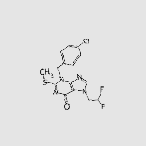 CSc1nc(=O)c2c(ncn2CC(F)F)n1Cc1ccc(Cl)cc1